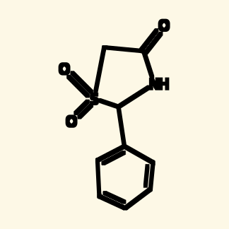 O=C1CS(=O)(=O)C(c2ccccc2)N1